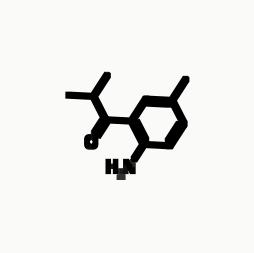 Cc1ccc(N)c(C(=O)C(C)C)c1